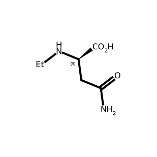 CCN[C@H](CC(N)=O)C(=O)O